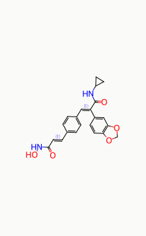 O=C(/C=C/c1ccc(/C=C(/C(=O)NC2CC2)c2ccc3c(c2)OCO3)cc1)NO